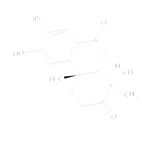 CC(C)c1cc2c(cc1O)[C@@]1(C)CCC(=O)C(C)(C)[C@@H]1CC2=O